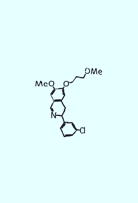 COCCCOc1cc2c(cc1OC)C=NC(c1cccc(Cl)c1)C2